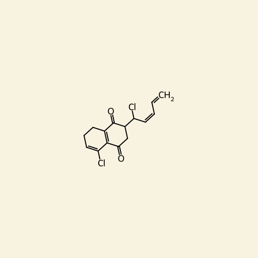 C=C/C=C\C(Cl)C1CC(=O)C2=C(CCC=C2Cl)C1=O